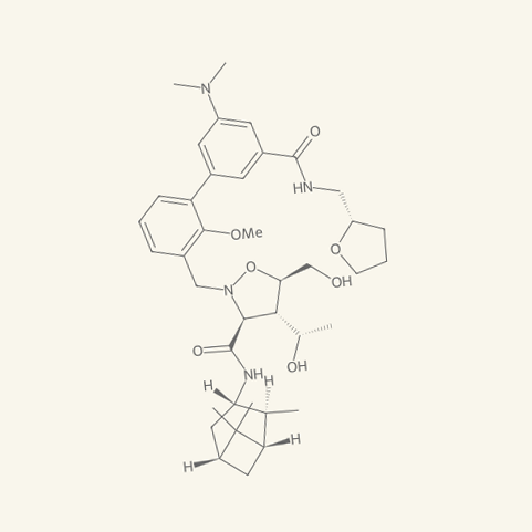 COc1c(CN2O[C@@H](CO)[C@H]([C@H](C)O)[C@H]2C(=O)N[C@H]2C[C@H]3C[C@@H]([C@@H]2C)C3(C)C)cccc1-c1cc(C(=O)NC[C@@H]2CCCO2)cc(N(C)C)c1